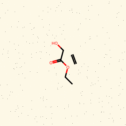 C=C.CCOC(=O)CO